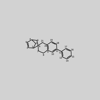 C1=CC2CC1CC21CCc2cc(-c3ccccc3)ccc2C1